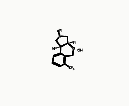 CCCN1C[C@@H]2c3cccc(C(F)(F)F)c3CO[C@@H]2C1.Cl